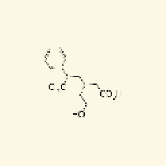 O=C(O)CC(CCO)CC(c1ccccc1)C(Cl)(Cl)Cl